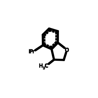 CC(C)c1cccc2c1C(C)CO2